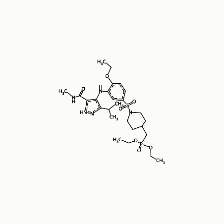 CCOc1ccc(S(=O)(=O)N2CCC(CP(=O)(OCC)OCC)CC2)cc1Nc1c(C(C)C)n[nH]c1C(=O)NC